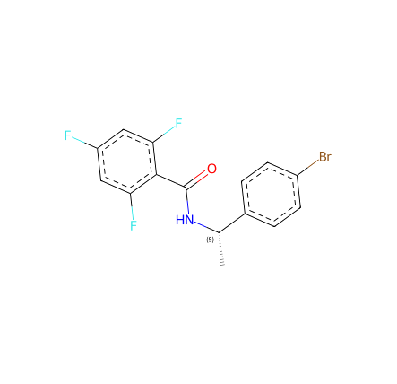 C[C@H](NC(=O)c1c(F)cc(F)cc1F)c1ccc(Br)cc1